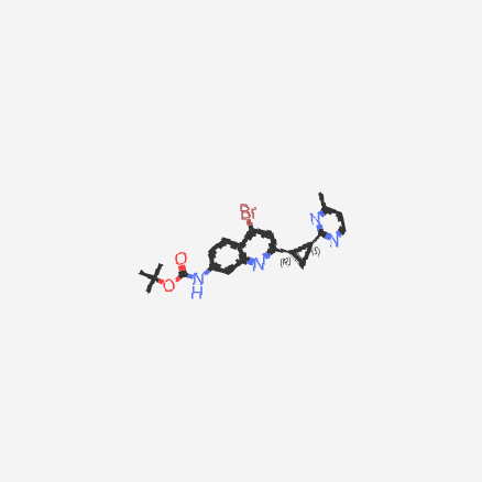 Cc1ccnc([C@H]2C[C@H]2c2cc(Br)c3ccc(NC(=O)OC(C)(C)C)cc3n2)n1